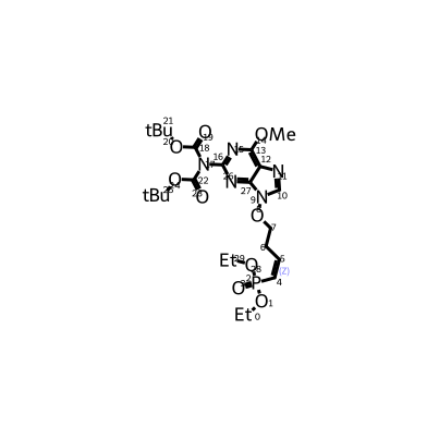 CCOP(=O)(/C=C\CCOn1cnc2c(OC)nc(N(C(=O)OC(C)(C)C)C(=O)OC(C)(C)C)nc21)OCC